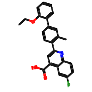 CCOc1ccccc1-c1ccc(-c2cc(C(=O)O)c3cc(F)ccc3n2)c(C)c1